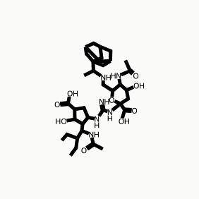 CCC(CC)C(NC(C)=O)C1C(NC(=N)NC2(C(=O)O)CC(O)C(NC(C)=O)C(CNC(C)C34CC5CC(CC(C5)C3)C4)O2)CC(C(=O)O)C1O